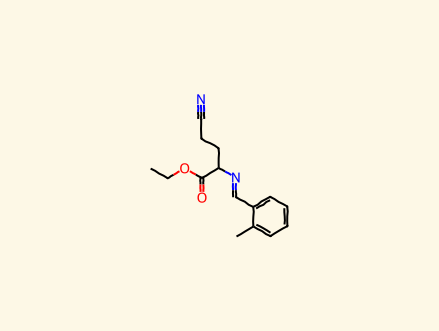 CCOC(=O)C(CCC#N)N=Cc1ccccc1C